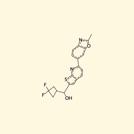 Cc1nc2ccc(-c3ccc4cc(C(O)C5CC(F)(F)C5)sc4n3)cc2o1